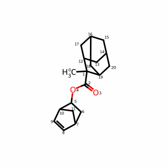 CC1(C(=O)OC2CC3C=CC2C3)C2CC3CC(C2)CC1C3